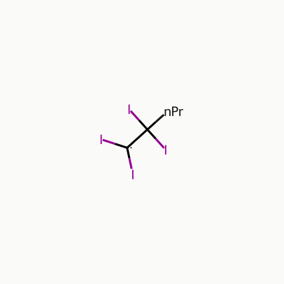 CCCC(I)(I)[C](I)I